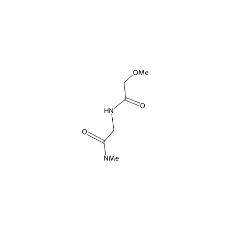 CNC(=O)CNC(=O)COC